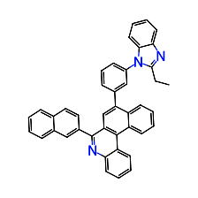 CCc1nc2ccccc2n1-c1cccc(-c2cc3c(-c4ccc5ccccc5c4)nc4ccccc4c3c3ccccc23)c1